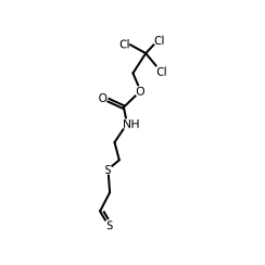 O=C(NCCSCC=S)OCC(Cl)(Cl)Cl